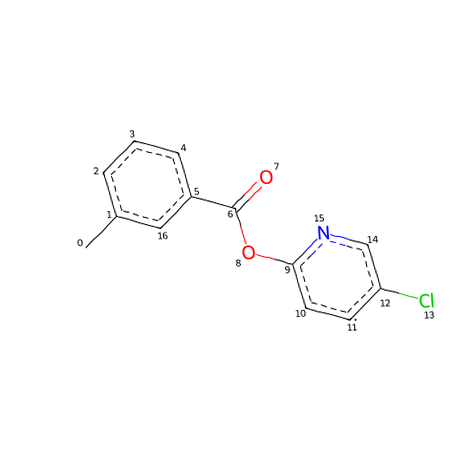 Cc1cccc(C(=O)Oc2c[c]c(Cl)cn2)c1